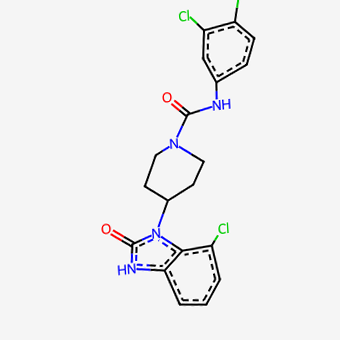 O=C(Nc1ccc(Cl)c(Cl)c1)N1CCC(n2c(=O)[nH]c3cccc(Cl)c32)CC1